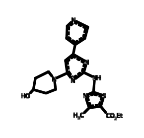 CCOC(=O)c1sc(Nc2nc(-c3ccncc3)cc(N3CCC(O)CC3)n2)nc1C